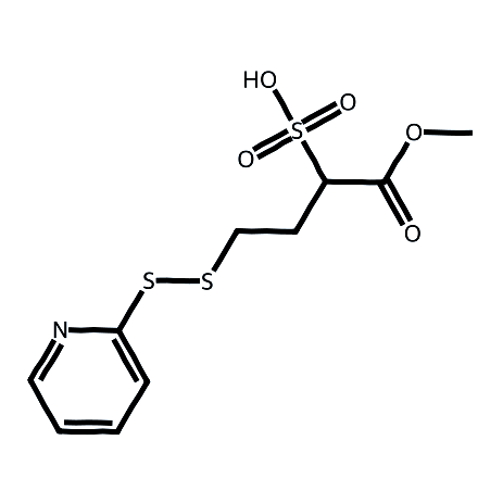 COC(=O)C(CCSSc1ccccn1)S(=O)(=O)O